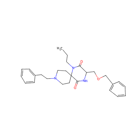 CCCN1C(=O)C(COCc2ccccc2)NC(=O)C12CCN(CCc1ccccc1)CC2